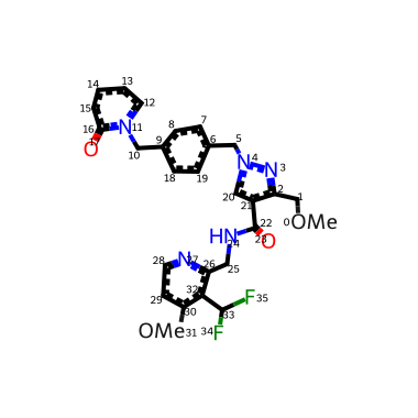 COCc1nn(Cc2ccc(Cn3ccccc3=O)cc2)cc1C(=O)NCc1nccc(OC)c1C(F)F